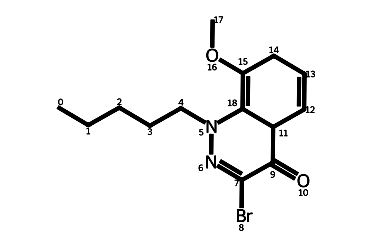 CCCCCN1N=C(Br)C(=O)C2C=CCC(OC)=C21